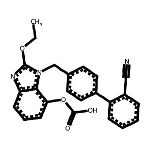 CCOc1nc2cccc(OC(=O)O)c2n1Cc1ccc(-c2ccccc2C#N)cc1